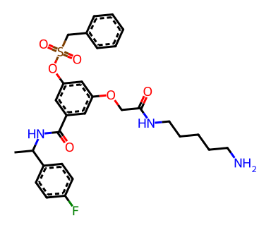 CC(NC(=O)c1cc(OCC(=O)NCCCCCN)cc(OS(=O)(=O)Cc2ccccc2)c1)c1ccc(F)cc1